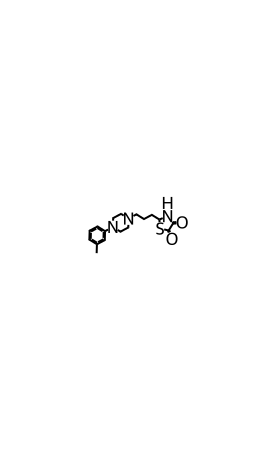 Cc1cccc(N2CCN(CCCC3NC(=O)C(=O)S3)CC2)c1